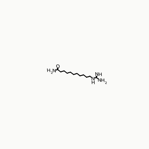 N=C(N)NCCCCCCCCCCC(N)=O